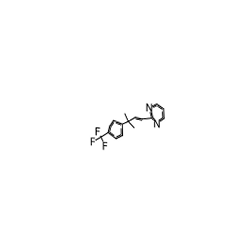 CC(C)(C=Cc1ncccn1)c1ccc(C(F)(F)F)cc1